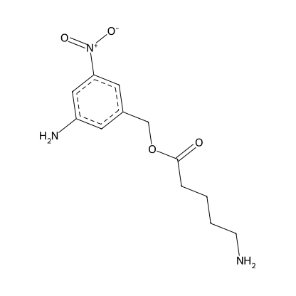 NCCCCC(=O)OCc1cc(N)cc([N+](=O)[O-])c1